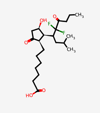 CCCC(=O)C(F)(F)C(CC(C)C)[C@@H]1[C@H](O)CC(=O)[C@@H]1CCCCCCC(=O)O